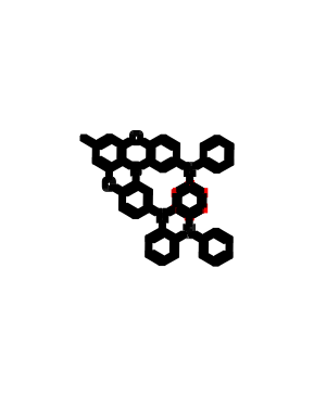 Cc1cc2c3c(c1)Oc1ccc(N4c5ccccc5N(c5ccccc5)c5ccccc54)cc1B3c1cc(N(c3ccccc3)c3ccccc3)ccc1O2